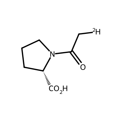 [2H]CC(=O)N1CCC[C@H]1C(=O)O